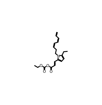 C=C/C=C\C=C/CCn1c(/C=C/C(=O)OC(=O)OCC)ccc1CC